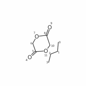 CCCC.O=C1COC(=O)CO1